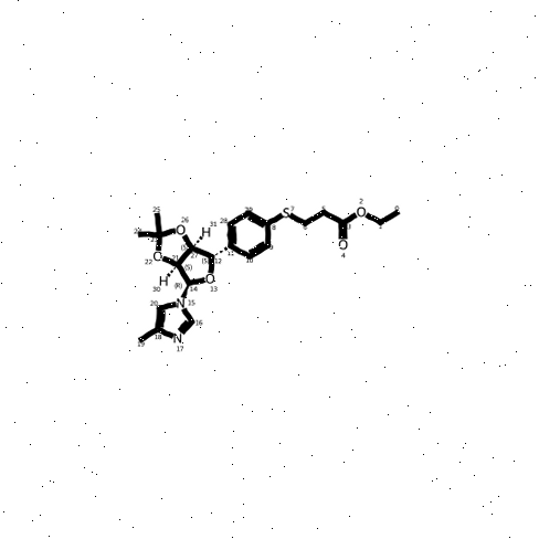 CCOC(=O)CCSc1ccc([C@@H]2O[C@@H](n3cnc(C)c3)[C@H]3OC(C)(C)O[C@H]32)cc1